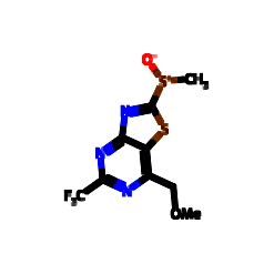 COCc1nc(C(F)(F)F)nc2nc([S+](C)[O-])sc12